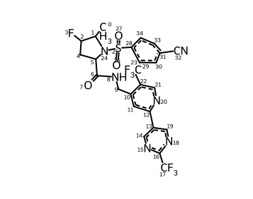 CC1C(F)CC(C(=O)NCc2cc(-c3cnc(C(F)(F)F)nc3)ncc2C(F)(F)F)N1S(=O)(=O)c1ccc(C#N)cc1